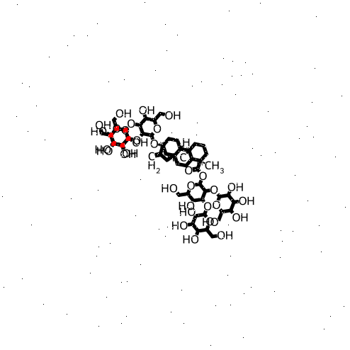 C=C1CC23CCC4[C@](C)(C(=O)OC5OC(CO)C(O)C(OC6OC(CO)C(O)C(O)C6O)C5OC5OC(CO)C(O)C(O)C5O)CCC[C@@]4(C)[C@@H]2CC[C@]1(OC1OC(CO)C(O)C(OC2OC(CO)C(O)C(O)C2O)C1OC1OC(CO)C(O)C(O)C1O)C3